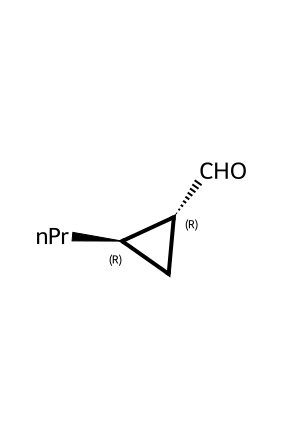 CCC[C@@H]1C[C@H]1C=O